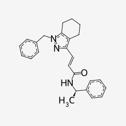 C[C@@H](NC(=O)C=Cc1nn(Cc2ccccc2)c2c1CCCC2)c1ccccc1